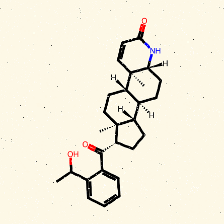 CC(O)c1ccccc1C(=O)[C@H]1CC[C@H]2[C@@H]3CC[C@H]4NC(=O)C=C[C@]4(C)[C@H]3CC[C@]12C